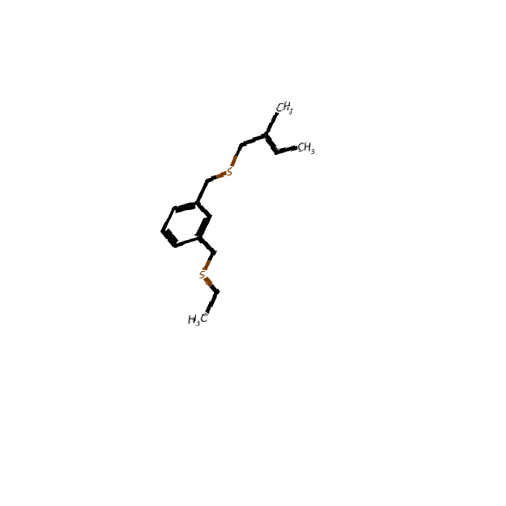 CCSCc1cccc(CSCC(C)CC)c1